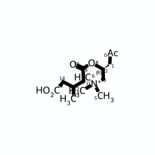 CC(=O)C[C@H](C[N+](C)(C)C)OC(=O)CC(C)CC(=O)O